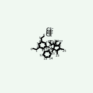 CCc1cc(CC)cc([Si](c2ccccc2)(C(C)CC)C2(C)C(C)=C(C)C(C)=[C]2[Ti+3])c1.[Cl-].[Cl-].[Cl-]